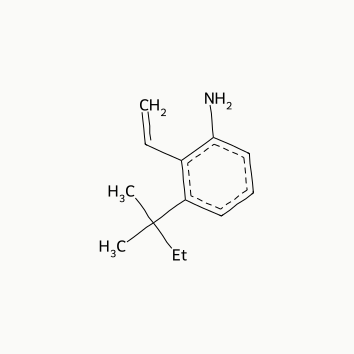 C=Cc1c(N)cccc1C(C)(C)CC